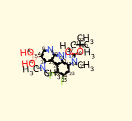 CN(C)c1c(B(O)O)cnc2[nH]c3c(N(C)C(=O)OC(C)(C)C)cc(F)c(F)c3c12